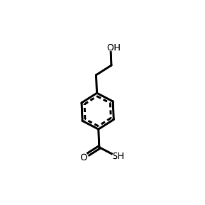 O=C(S)c1ccc(CCO)cc1